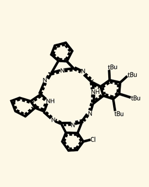 CC(C)(C)c1c(C(C)(C)C)c(C(C)(C)C)c2c3nc4nc(nc5[nH]c(nc6nc(nc([nH]3)c2c1C(C)(C)C)-c1ccccc1-6)c1ccccc51)-c1cccc(Cl)c1-4